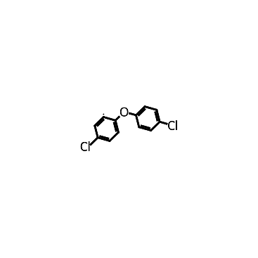 Clc1c[c]c(Oc2ccc(Cl)cc2)cc1